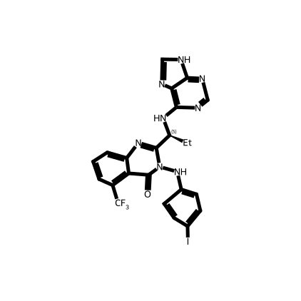 CC[C@H](Nc1ncnc2[nH]cnc12)c1nc2cccc(C(F)(F)F)c2c(=O)n1Nc1ccc(I)cc1